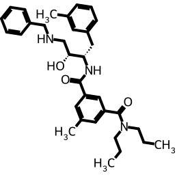 CCCN(CCC)C(=O)c1cc(C)cc(C(=O)N[C@@H](Cc2cccc(C)c2)[C@H](O)CNCc2ccccc2)c1